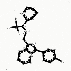 Fc1ccc(-c2nc(CNC(c3ccccn3)C(F)(F)F)c3ccccn23)cc1